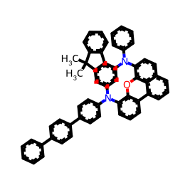 CC1(C)c2ccccc2-c2ccc(N(c3ccc(-c4ccc(-c5ccccc5)cc4)cc3)c3cccc4c3Oc3c(N(c5ccccc5)c5ccccc5)ccc5cccc-4c35)cc21